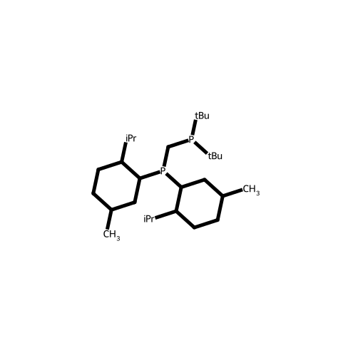 CC1CCC(C(C)C)C(P(CP(C(C)(C)C)C(C)(C)C)C2CC(C)CCC2C(C)C)C1